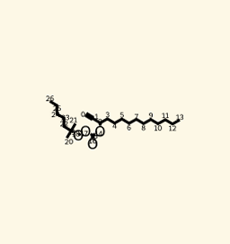 C#CC(CCCCCCCCCCC)OC(=O)OOC(C)(C)CCCCC